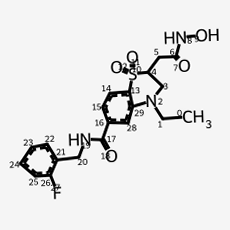 CCN1CC(CC(=O)NO)S(=O)(=O)c2ccc(C(=O)NCc3ccccc3F)cc21